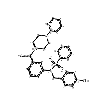 O=C(c1cccc(N(Cc2ccc(Cl)cc2)S(=O)(=O)c2ccccc2)c1)N1CCN(c2ccccn2)CC1